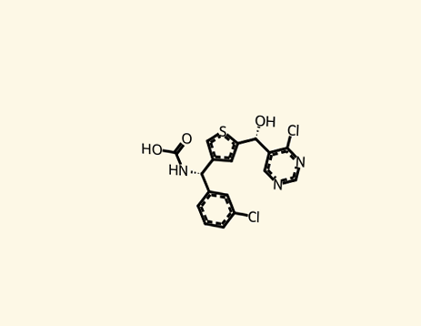 O=C(O)N[C@@H](c1cccc(Cl)c1)c1csc([C@H](O)c2cncnc2Cl)c1